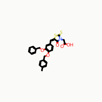 Cc1ccc(COc2ccc(C=C3SC(=S)N(CC(=O)O)C3=O)cc2OCc2ccccc2)cc1